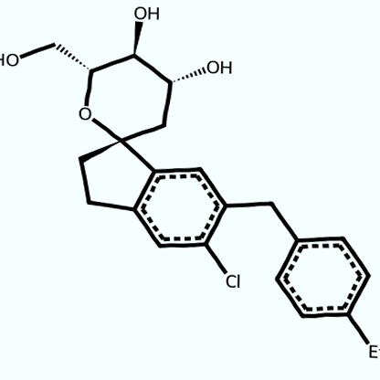 CCc1ccc(Cc2cc3c(cc2Cl)CC[C@@]32C[C@@H](O)[C@H](O)[C@@H](CO)O2)cc1